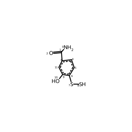 NC(=O)c1ccc(SS)c(O)c1